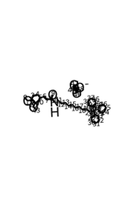 COc1ccc(C=CC(=O)NCCCCCCCCCC[P+](c2ccccc2)(c2ccccc2)c2ccccc2)cc1OC.CS(=O)(=O)[O-]